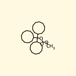 COC(=O)OC(C1CCCCCCCCC1)(C1CCCCCCCCC1)C1CCCCCCCCC1